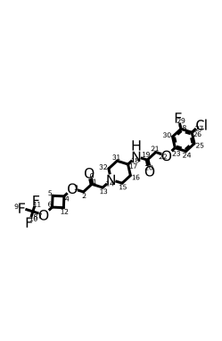 O=C(COC1CC(OC(F)(F)F)C1)CN1CCC(NC(=O)COc2ccc(Cl)c(F)c2)CC1